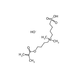 C=C(C)C(=O)OCCCC[N+](C)(C)CCCCS(=O)(=O)O.[OH-]